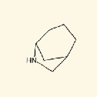 C1CC2CNC(C1)C2